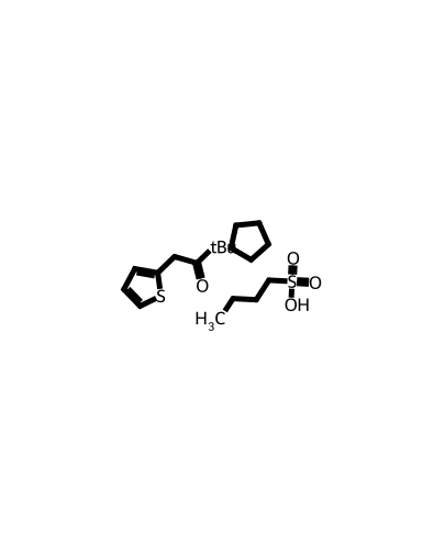 C1CCCC1.CC(C)(C)C(=O)Cc1cccs1.CCCCS(=O)(=O)O